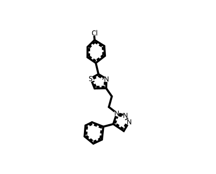 Clc1ccc(-c2nc(CCn3nncc3-c3ccccc3)cs2)cc1